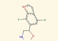 Fc1cc(C2CNCCO2)c(F)c2occc12